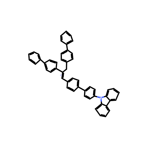 C(=C(/Cc1ccc(-c2ccccc2)cc1)c1ccc(-c2ccccc2)cc1)/c1ccc(-c2ccc(-n3c4ccccc4c4ccccc43)cc2)cc1